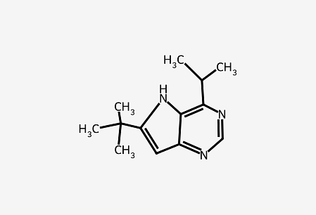 CC(C)c1ncnc2cc(C(C)(C)C)[nH]c12